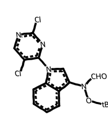 CC(C)(C)ON(C=O)c1cn(-c2nc(Cl)ncc2Cl)c2ccccc12